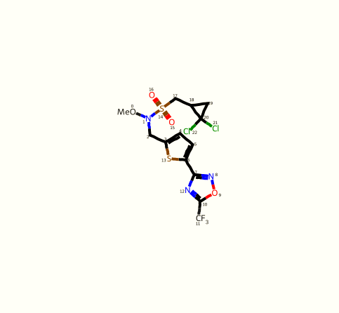 CON(Cc1ccc(-c2noc(C(F)(F)F)n2)s1)S(=O)(=O)CC1CC1(Cl)Cl